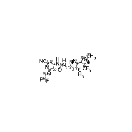 Cc1cc(CNC(=O)Nc2cc(C#N)nc(OCC(F)F)c2)nnc1-c1cn(C)nc1C(F)(F)F